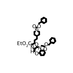 CCOC(=O)[C@H](CCCC1CCN(C(=O)OCc2ccccc2)CC1)N[C@H]1COc2ccccc2N(CC(=O)OCc2ccccc2)C1=O